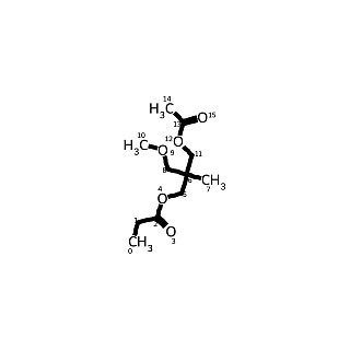 CCC(=O)OCC(C)(COC)COC(C)=O